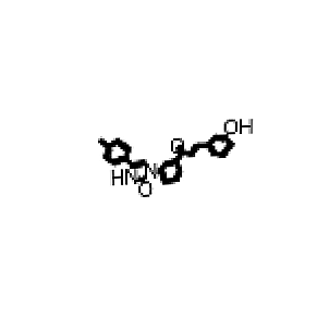 Cc1ccc(-c2cn(-c3cccc(C(=O)C=Cc4cccc(O)c4)c3)c(=O)[nH]2)cc1